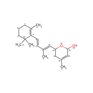 CC(C=CC1=C(C)CCCC1(C)C)=CC1CC(C)=CC(O)O1